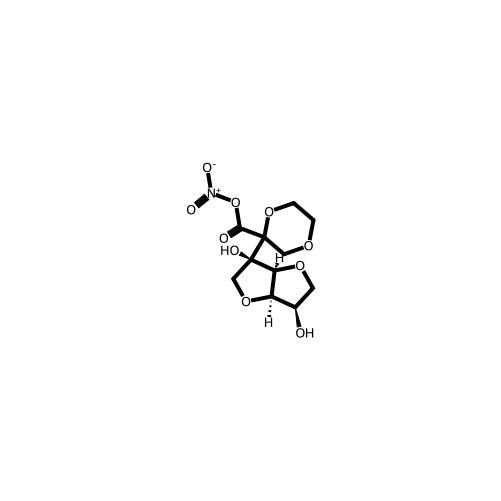 O=C(O[N+](=O)[O-])C1([C@@]2(O)CO[C@@H]3[C@H](O)CO[C@@H]32)COCCO1